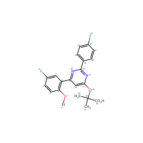 CCOc1ccc(F)cc1-c1cc(OC(C)(C)C(=O)O)nc(-c2ccc(F)cc2)n1